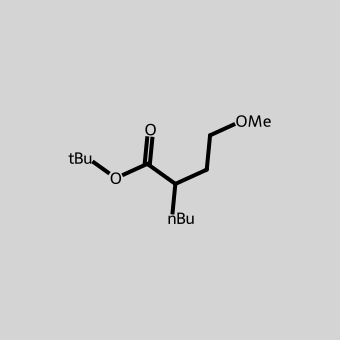 CCCCC(CCOC)C(=O)OC(C)(C)C